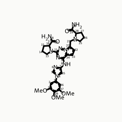 COc1cc(-n2cnc(Nc3nc(N4CCCC4C(N)=O)nn4c(CN5CCCC5C(N)=O)ccc34)c2)cc(OC)c1OC